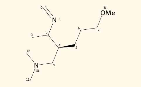 C=NC(C)[C@@H](CCCOC)CN(C)C